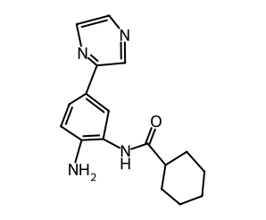 Nc1ccc(-c2cnccn2)cc1NC(=O)C1CCCCC1